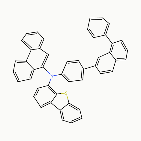 c1ccc(-c2cccc3ccc(-c4ccc(N(c5cc6ccccc6c6ccccc56)c5cccc6c5sc5ccccc56)cc4)cc23)cc1